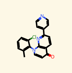 Cc1cccc(Cl)c1-n1ccc(=O)c2ccc(-c3ccncc3)nc21